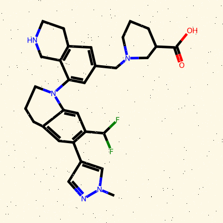 Cn1cc(-c2cc3c(cc2C(F)F)N(c2cc(CN4CCCC(C(=O)O)C4)cc4c2CNCC4)CCC3)cn1